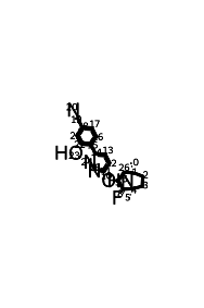 C[C@]12CC[C@](C)(N1)[C@H](F)[C@H](Oc1ccc(-c3ccc(C#N)cc3O)nn1)C2